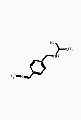 C=C=Cc1ccc(CNC(C)C)cc1